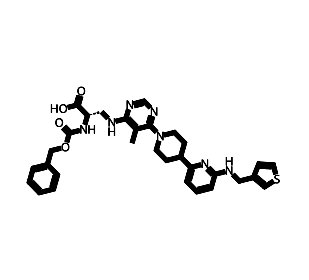 Cc1c(NC[C@H](NC(=O)OCc2ccccc2)C(=O)O)ncnc1N1CCC(c2cccc(NCc3ccsc3)n2)CC1